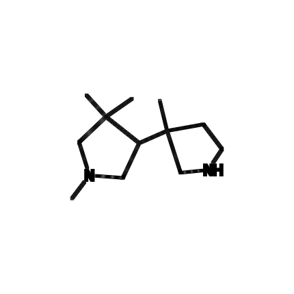 CN1CC(C2(C)CCNC2)C(C)(C)C1